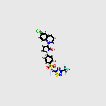 O=C1[C@@H](N2CCCc3cc(Cl)ccc32)CCN1c1ccc(S(=O)(=O)Nc2nc(C(F)(F)F)ns2)cc1